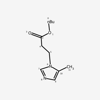 CCCCOC(=O)CCn1cncc1C